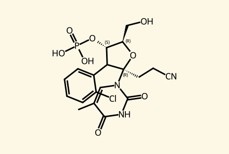 Cc1cn([C@]2(CCC#N)O[C@H](CO)[C@@H](OP(=O)(O)O)C2c2ccccc2Cl)c(=O)[nH]c1=O